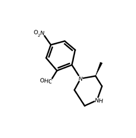 C[C@H]1CNCCN1c1ccc([N+](=O)[O-])cc1C=O